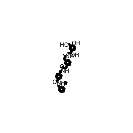 CCOc1ccccc1CNC(=O)c1ccc(CNC(=O)Cc2cccc(C[C@@H](C)NC[C@H](O)c3ccc(O)c(CO)c3)c2)cc1